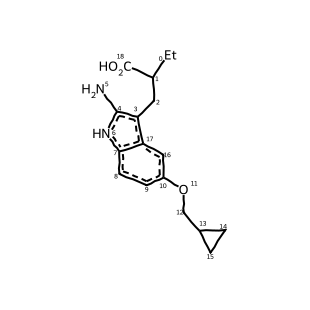 CCC(Cc1c(N)[nH]c2ccc(OCC3CC3)cc12)C(=O)O